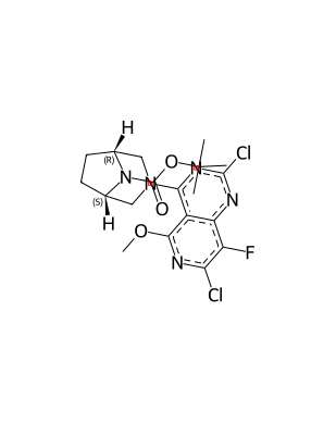 COc1nc(Cl)c(F)c2nc(Cl)nc(N3C[C@H]4CC[C@@H](C3)N4C(=O)OC(C)(C)C)c12